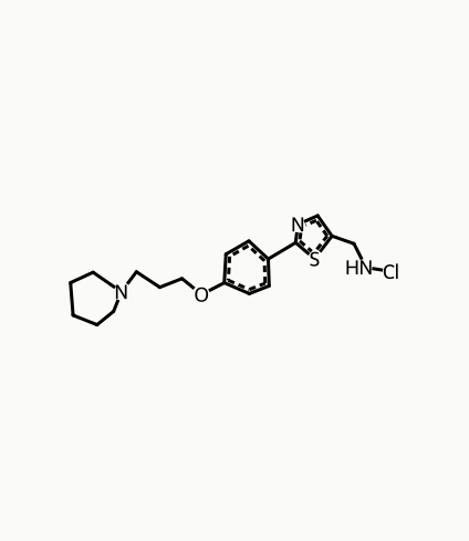 ClNCc1cnc(-c2ccc(OCCCN3CCCCC3)cc2)s1